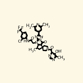 Cc1cc(-c2nc3n(CC(=O)Nc4ccc(C(F)(F)F)cc4Cl)c4c(c(=O)n3n2)C2(CCN(C(=O)c3ncnc(C)c3O)CC2)CC4C)cc(C)n1